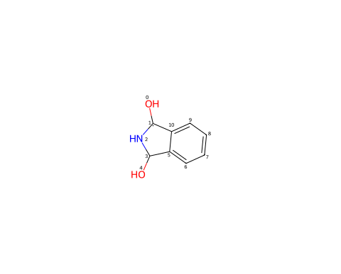 O[C]1NC(O)c2ccccc21